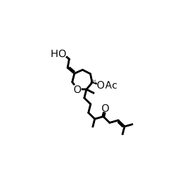 CC(=O)O[C@@H]1CCC(=CCO)COC1(C)CCCC(C)C(=O)CC=C(C)C